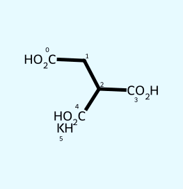 O=C(O)CC(C(=O)O)C(=O)O.[KH]